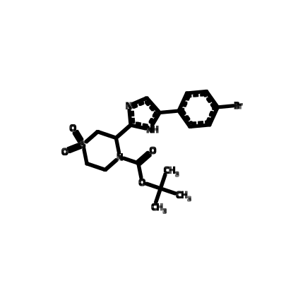 CC(C)(C)OC(=O)N1CCS(=O)(=O)CC1c1ncc(-c2ccc(Br)cc2)[nH]1